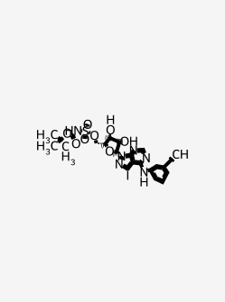 C#Cc1cccc(Nc2ncnc3c2c(I)nn3[C@@H]2O[C@H](COS(=O)(=O)NC(=O)OC(C)(C)C)[C@@H](O)[C@H]2O)c1